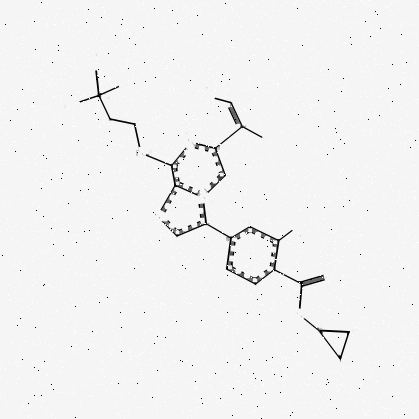 C/C=C(/C)c1cn2c(-c3ccc(C(=O)NC4CC4)c(C)c3)cnc2c(NCCC(F)(F)F)n1